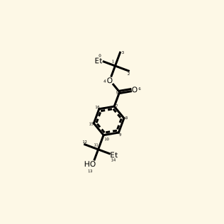 CCC(C)(C)OC(=O)c1ccc(C(C)(O)CC)cc1